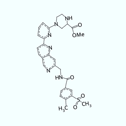 COC(=O)C1CN(c2cccc(-c3ccc4cnc(CNC(=O)c5ccc(C)c(S(C)(=O)=O)c5)cc4n3)n2)CCN1